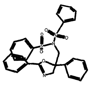 O=S(=O)(c1ccccc1)N(CC1(c2ccccc2)CN=C(c2ccccc2)O1)S(=O)(=O)c1ccccc1